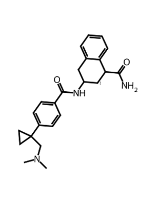 CN(C)CC1(c2ccc(C(=O)NC3[C]C(C(N)=O)c4ccccc4C3)cc2)CC1